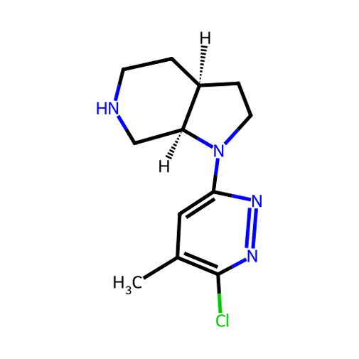 Cc1cc(N2CC[C@@H]3CCNC[C@@H]32)nnc1Cl